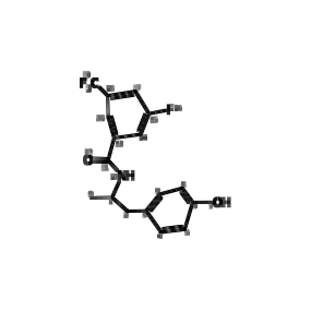 CC(Cc1ccc(O)cc1)NC(=O)c1cc(F)cc(C(F)(F)F)c1